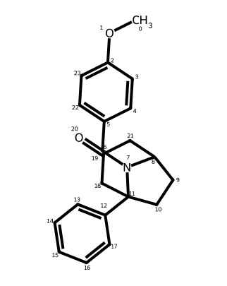 COc1ccc(CN2C3CCC2(c2ccccc2)CC(=O)C3)cc1